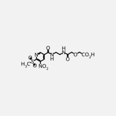 CS(=O)(=O)c1ncc(C(=O)NCCNC(=O)COCC(=O)O)cc1[N+](=O)[O-]